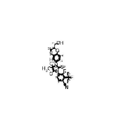 CC1(C)C(=O)N(c2ccc(C#N)c(C(F)(F)F)c2F)C(=S)N1c1ccc2c(c1)SC[C@@H](CO)O2